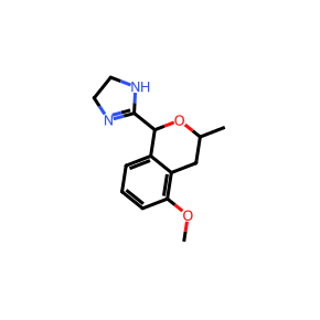 COc1cccc2c1CC(C)OC2C1=NCCN1